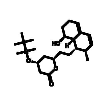 C[C@@H]1C=CC2=CCC[C@H](O)[C@@H]2[C@H]1CC[C@@H]1C[C@@H](O[Si](C)(C)C(C)(C)C)CC(=O)O1